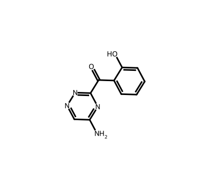 Nc1cnnc(C(=O)c2ccccc2O)n1